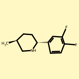 C[C@H]1CC[C@H](c2ccc(F)c(F)c2)NC1